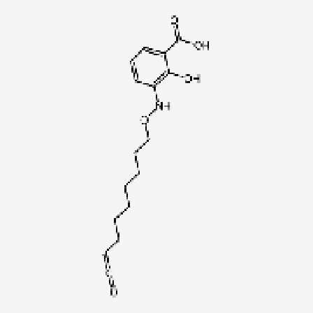 O=C=CCCCCCCCONc1cccc(C(=O)O)c1O